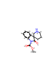 CC(C)(C)OC(=O)N1C(=O)C2(CCCNC2)c2ccccc21